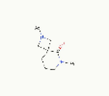 CC(=O)N1CC2(CCCN(C(C)C)C2=O)C1